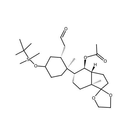 CC(=O)O[C@@H]1[C@@H]([C@@]2(C)CCC(O[Si](C)(C)C(C)(C)C)C[C@@H]2CC=O)CC[C@@]2(C)[C@H]1CCC21OCCO1